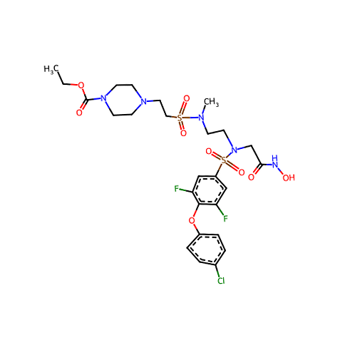 CCOC(=O)N1CCN(CCS(=O)(=O)N(C)CCN(CC(=O)NO)S(=O)(=O)c2cc(F)c(Oc3ccc(Cl)cc3)c(F)c2)CC1